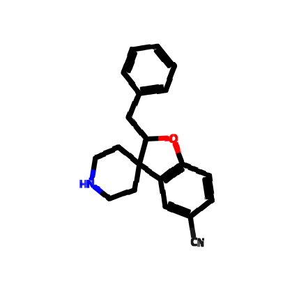 N#Cc1ccc2c(c1)C1(CCNCC1)C(Cc1ccccc1)O2